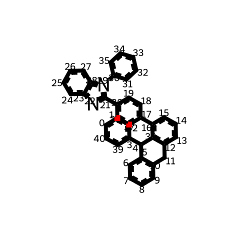 c1ccc(C2c3ccccc3Cc3cccc(-c4ccc(-c5nc6ccccc6n5-c5ccccc5)cc4)c32)cc1